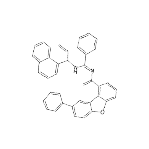 C=CC(N/C(=N\C(=C)c1cccc2oc3ccc(-c4ccccc4)cc3c12)c1ccccc1)c1cccc2ccccc12